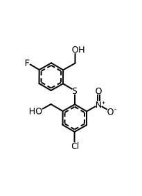 O=[N+]([O-])c1cc(Cl)cc(CO)c1Sc1ccc(F)cc1CO